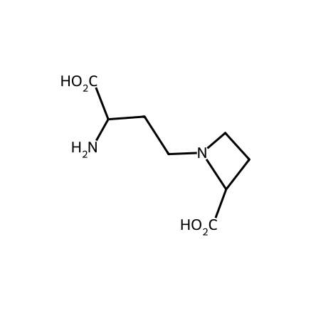 NC(CCN1CCC1C(=O)O)C(=O)O